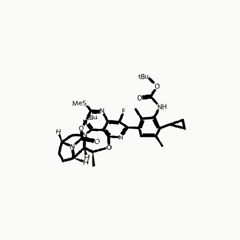 CSc1nc2c3c(nc(-c4cc(C)c(C5CC5)c(NC(=O)OC(C)(C)C)c4C)c(F)c3n1)O[C@@H](C)[C@@H]1[C@@H]3CC[C@H](CN21)N3C(=O)OC(C)(C)C